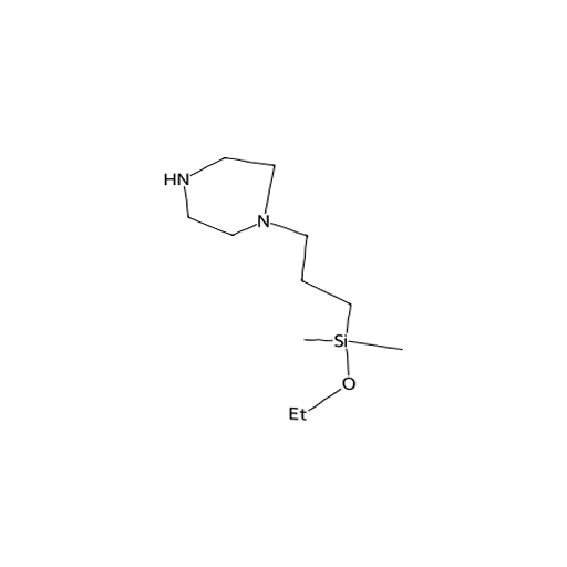 CCO[Si](C)(C)CCCN1CCNCC1